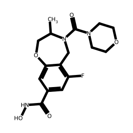 CC1COc2cc(C(=O)NO)cc(F)c2CN1C(=O)N1CCOCC1